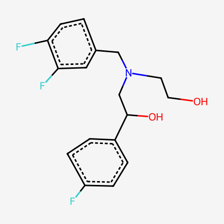 OCCN(Cc1ccc(F)c(F)c1)CC(O)c1ccc(F)cc1